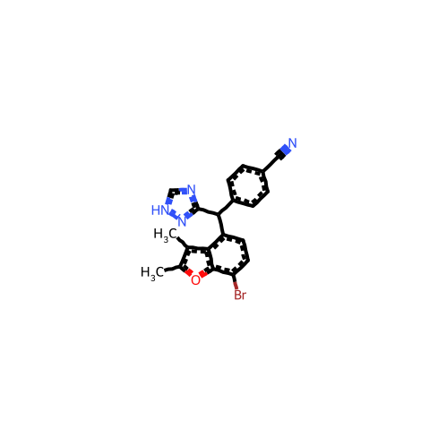 Cc1oc2c(Br)ccc(C(c3ccc(C#N)cc3)c3nc[nH]n3)c2c1C